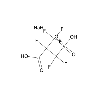 O=C(O)C(F)(C(F)(F)F)C(F)(F)S(=O)(=O)O.[NaH]